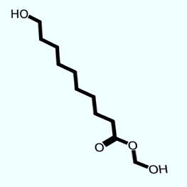 O=C(CCCCCCCCCO)OCO